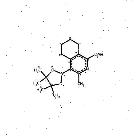 COc1nc(C)c(B2OC(C)(C)C(C)(C)O2)c2c1CCCC2